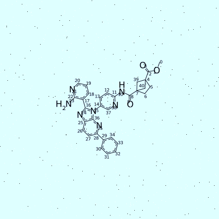 COC(=O)C12CCC(C(=O)Nc3ccc(-n4c(-c5cccnc5N)nc5ccc(-c6ccccc6)nc54)cn3)(C1)C2